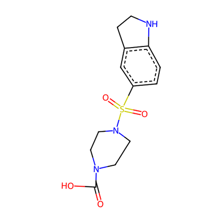 O=C(O)N1CCN(S(=O)(=O)c2ccc3c(c2)CCN3)CC1